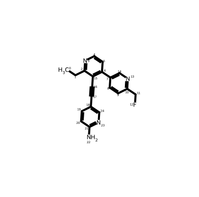 CCc1nccc(-c2ccc(CF)nc2)c1C#Cc1ccc(N)nc1